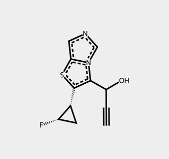 C#CC(O)c1c([C@@H]2C[C@@H]2F)sc2cncn12